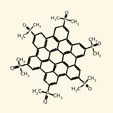 CP(C)(=O)C1=Cc2c3cc(P(C)(C)=O)cc4c5cc(P(C)(C)=O)cc6c7cc(P(C)(C)=O)cc8c9cc(P(C)(C)=O)cc%10c%11c%12c(c(c2c2c%12c(c%109)c(c87)c(c56)c2c34)C1)CC(P(C)(C)=O)=C%11